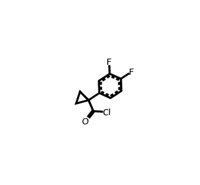 O=C(Cl)C1(c2ccc(F)c(F)c2)CC1